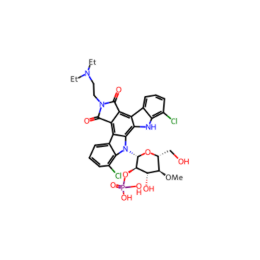 CCN(CC)CCN1C(=O)c2c(c3c4cccc(Cl)c4n([C@@H]4O[C@H](CO)[C@@H](OC)[C@H](O)[C@H]4OP(=O)(O)O)c3c3[nH]c4c(Cl)cccc4c23)C1=O